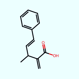 C=C(C(=O)O)C(C)C=Cc1ccccc1